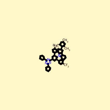 Cc1cc(C)c(-c2ccc3c(c2)c2ccccc2n3-c2c(-c3ccc(C(F)(F)F)cc3)cc(-c3nc(-c4ccccc4)nc(-c4ccccc4)n3)cc2-c2ccc(C(F)(F)F)cc2)c(C)c1